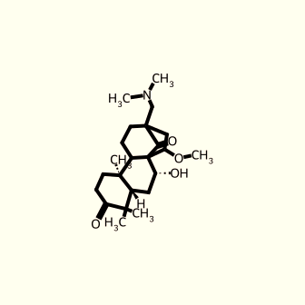 COC1CC2(CN(C)C)CCC3C1(C2=O)[C@H](O)C[C@@H]1C(C)(C)C(=O)CC[C@@]31C